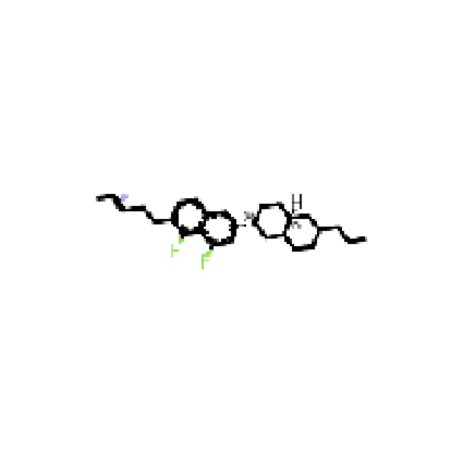 C/C=C/CCc1ccc2cc([C@@H]3CC[C@@H]4CC(CCC)CCC4C3)cc(F)c2c1F